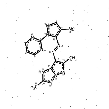 [C-]#[N+]c1cnn(-c2ncccn2)c1/N=N/c1c(C)nn2nc(C)[nH]c12